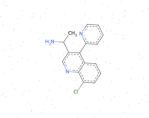 CC(N)c1cnc2c(Cl)cccc2c1-c1ccccn1